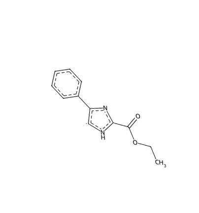 CCOC(=O)c1nc(-c2ccccc2)[c][nH]1